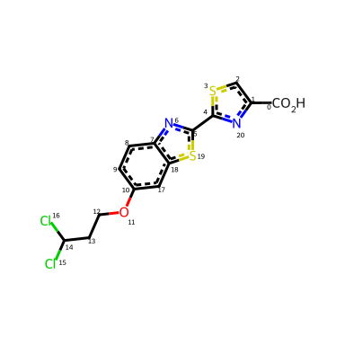 O=C(O)c1csc(-c2nc3ccc(OCCC(Cl)Cl)cc3s2)n1